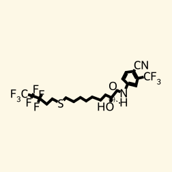 C[C@](O)(CCCCCCCSCCC(F)(F)C(F)(F)C(F)(F)F)C(=O)Nc1ccc(C#N)c(C(F)(F)F)c1